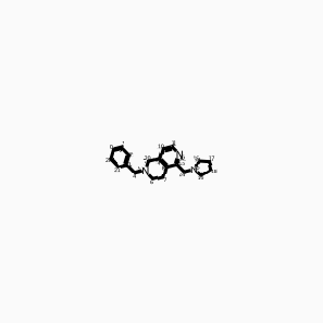 c1ccc(CN2CCc3c(ccnc3CN3CCCC3)C2)cc1